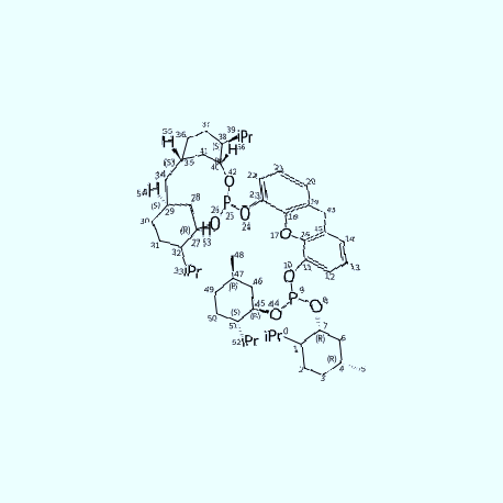 CC(C)C1CC[C@@H](C)C[C@H]1OP(Oc1cccc2c1Oc1c(cccc1OP1O[C@@H]3C[C@@H](CCC3C(C)C)C[C@@H]3CC[C@@H](C(C)C)[C@@H](C3)O1)C2)O[C@@H]1C[C@H](C)CC[C@H]1C(C)C